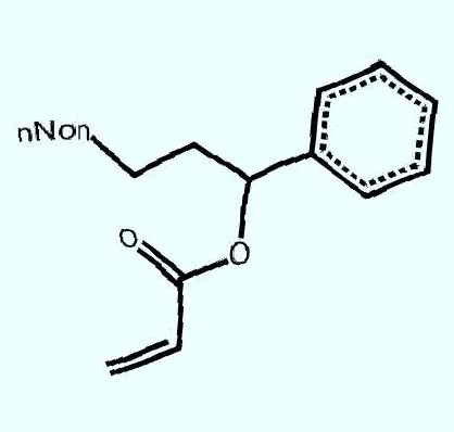 C=CC(=O)OC(CCCCCCCCCCC)c1ccccc1